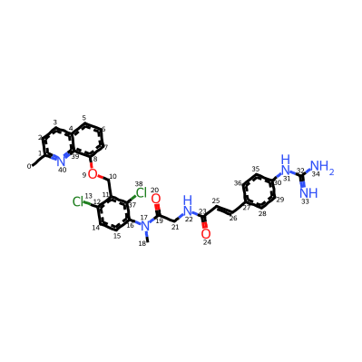 Cc1ccc2cccc(OCc3c(Cl)ccc(N(C)C(=O)CNC(=O)C=Cc4ccc(NC(=N)N)cc4)c3Cl)c2n1